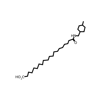 CC1CCC(CNC(=O)CCCCCCCCCCCCCCCCCCC(=O)O)CC1